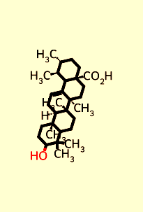 C[C@@H]1CC[C@]2(C(=O)O)CC[C@]3(C)C(=CC[C@@H]4[C@@]5(C)CCC(O)C(C)(C)C5CC[C@]43C)C2[C@H]1C